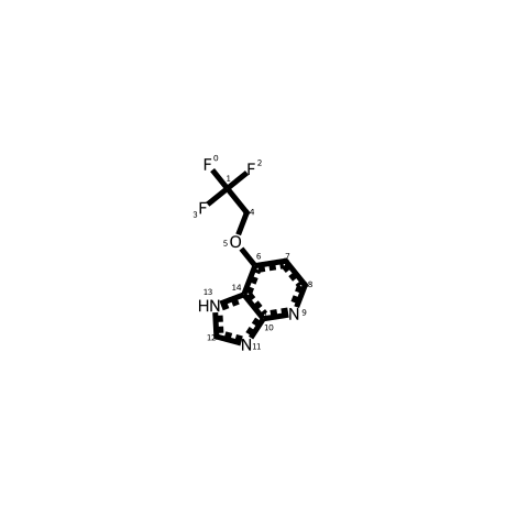 FC(F)(F)COc1ccnc2nc[nH]c12